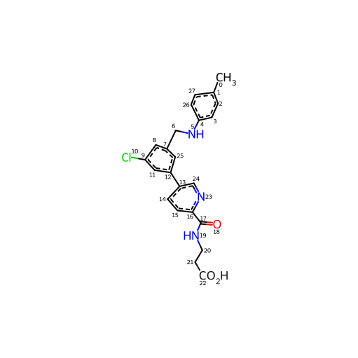 Cc1ccc(NCc2cc(Cl)cc(-c3ccc(C(=O)NCCC(=O)O)nc3)c2)cc1